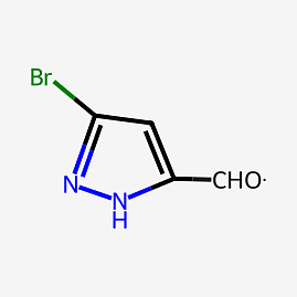 O=[C]c1cc(Br)n[nH]1